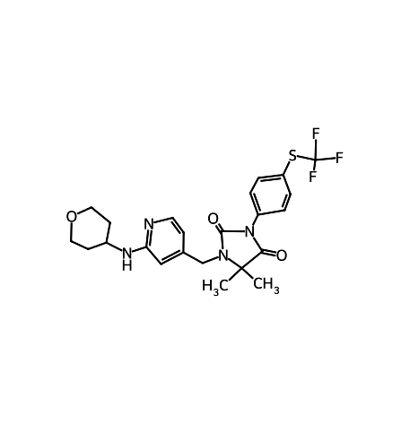 CC1(C)C(=O)N(c2ccc(SC(F)(F)F)cc2)C(=O)N1Cc1ccnc(NC2CCOCC2)c1